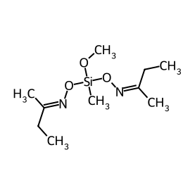 CCC(C)=NO[Si](C)(OC)ON=C(C)CC